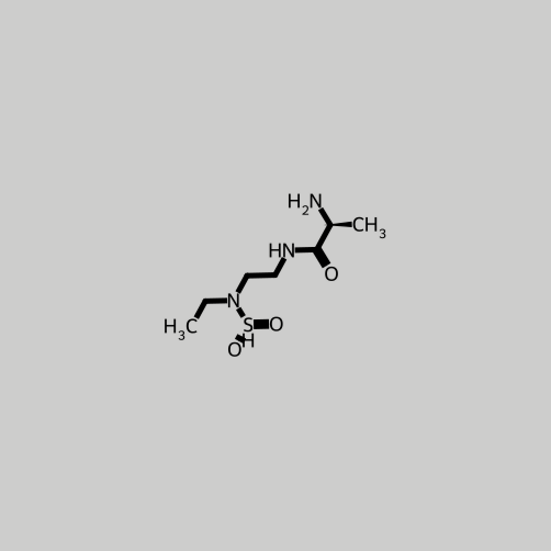 CCN(CCNC(=O)[C@H](C)N)[SH](=O)=O